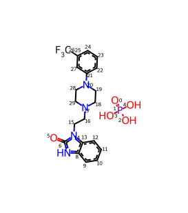 O=P(O)(O)O.O=c1[nH]c2ccccc2n1CCN1CCN(c2cccc(C(F)(F)F)c2)CC1